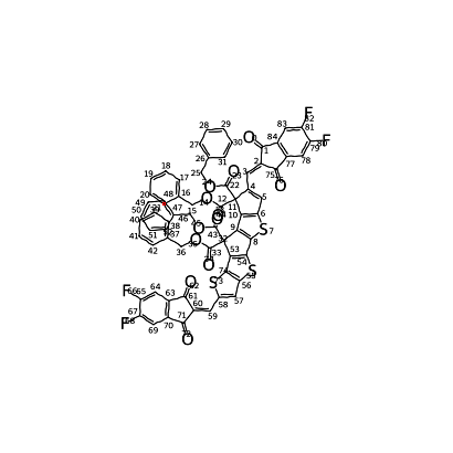 O=C1C(=CC2=Cc3sc4c(c3C2(C(=O)OCc2ccccc2)C(=O)OCc2ccccc2)C(C(=O)OCc2ccccc2)(C(=O)OCc2ccccc2)c2c-4sc3cc(C=C4C(=O)c5cc(F)c(F)cc5C4=O)sc23)C(=O)c2cc(F)c(F)cc21